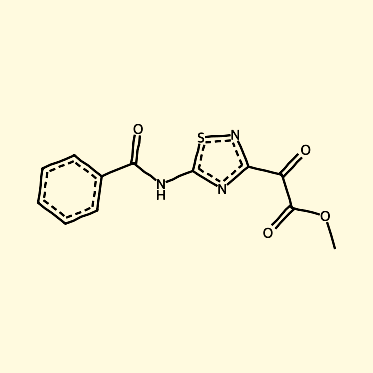 COC(=O)C(=O)c1nsc(NC(=O)c2ccccc2)n1